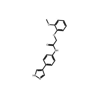 COc1ccccc1OCC(=O)Nc1ccc(-c2cn[nH]c2)cc1